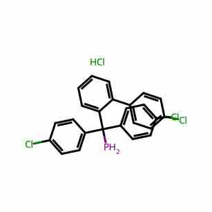 Cl.PC(c1ccc(Cl)cc1)(c1ccc(Cl)cc1)c1ccccc1-c1ccc(Cl)cc1